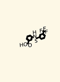 O=C(O)c1cccc(NC(=S)c2cccc(C(F)(F)F)c2)c1